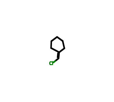 ClC=C1CCCCC1